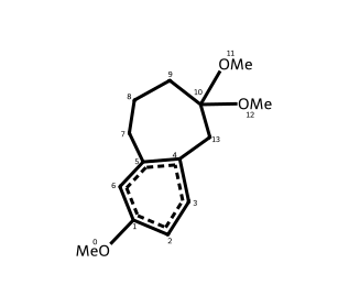 COc1ccc2c(c1)CCCC(OC)(OC)C2